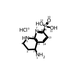 Cl.NC1CCNc2nc(P(=O)(O)O)ccc21